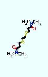 CN(C)C(=O)CCSC=CSCCC(=O)N(C)C